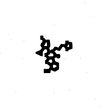 O=c1c2c(nc(-c3ccc(F)cc3C3CC3)n1CCCc1nccs1)sc1c(O)cccc12